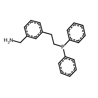 NCc1cccc(CCP(c2ccccc2)c2ccccc2)c1